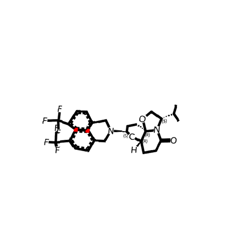 CC(C)[C@H]1CO[C@]23CC[C@H](N(Cc4ccc(C(F)(F)F)cc4)Cc4ccc(C(F)(F)F)cc4)C[C@H]2CCC(=O)N13